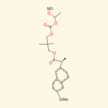 COc1ccc2cc([C@H](C)C(=O)OCC(C)(C)COC(=O)OC(C)ON=O)ccc2c1